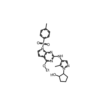 CCOc1nc(Nc2cnn(C3CCCC3O)c2C)nc2c1ccn2S(=O)(=O)c1ccc(C)cc1